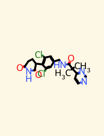 CC(C)(C(=O)NCc1cc(Cl)c(C2CCC(=O)NC2=O)c(Cl)c1)c1ccncn1